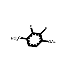 CC(=O)Oc1ccc(C(=O)O)c(F)c1F